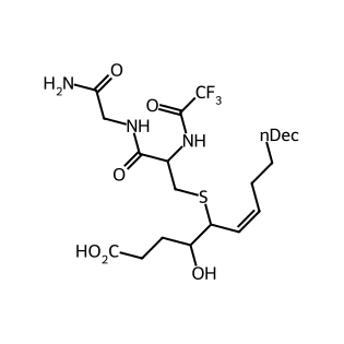 CCCCCCCCCCCC/C=C\C(SCC(NC(=O)C(F)(F)F)C(=O)NCC(N)=O)C(O)CCC(=O)O